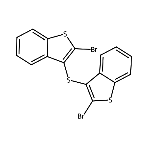 Brc1sc2ccccc2c1Sc1c(Br)sc2ccccc12